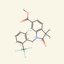 COC(=O)c1ccc2c(c1)N(Cc1c(F)cccc1C(F)(F)F)C(=O)C2(C)C